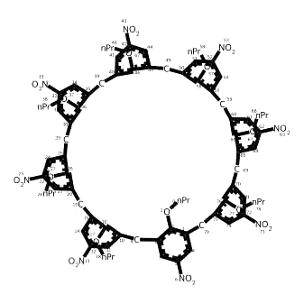 CCCOc1c2cc([N+](=O)[O-])cc1Cc1cc([N+](=O)[O-])cc(c1OCCC)Cc1cc([N+](=O)[O-])cc(c1OCCC)Cc1cc([N+](=O)[O-])cc(c1OCCC)Cc1cc([N+](=O)[O-])cc(c1OCCC)Cc1cc([N+](=O)[O-])cc(c1OCCC)Cc1cc([N+](=O)[O-])cc(c1OCCC)Cc1cc([N+](=O)[O-])cc(c1OCCC)C2